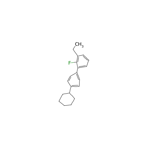 CCc1cccc(-c2ccc(C3CCCCC3)cc2)c1F